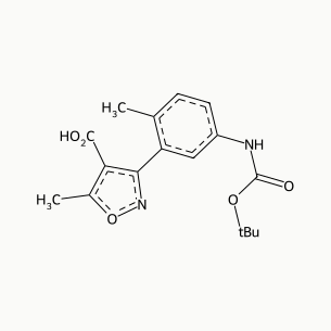 Cc1ccc(NC(=O)OC(C)(C)C)cc1-c1noc(C)c1C(=O)O